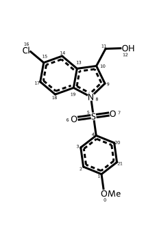 COc1ccc(S(=O)(=O)n2cc(CO)c3cc(Cl)ccc32)cc1